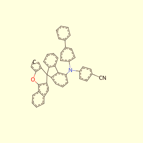 N#Cc1ccc(N(c2ccc(-c3ccccc3)cc2)c2cccc3c2-c2ccccc2C32c3ccccc3Oc3c2ccc2ccccc32)cc1